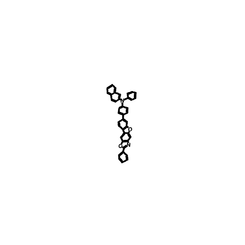 c1ccc(-c2nc3cc4oc5cc(-c6ccc(N(c7ccccc7)c7ccc8ccccc8c7)cc6)ccc5c4cc3o2)cc1